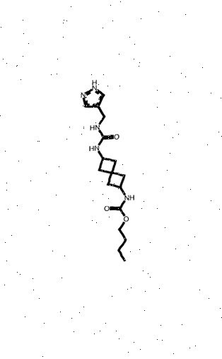 CCCCOC(=O)NC1CC2(CC(NC(=O)NCc3cn[nH]c3)C2)C1